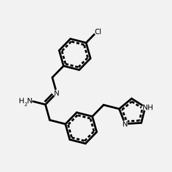 NC(Cc1cccc(Cc2c[nH]cn2)c1)=NCc1ccc(Cl)cc1